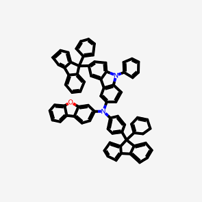 C1=CCCC(C2(c3ccc(N(c4ccc5c(c4)oc4ccccc45)c4ccc5c(c4)c4cc(C6(c7ccccc7)c7ccccc7-c7ccccc76)ccc4n5-c4ccccc4)cc3)c3ccccc3-c3ccccc32)=C1